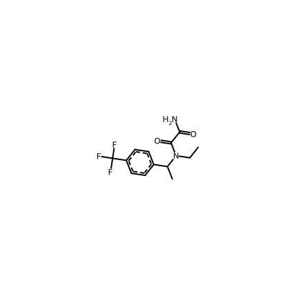 CCN(C(=O)C(N)=O)C(C)c1ccc(C(F)(F)F)cc1